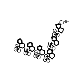 O=S(=O)([O-])C1CCCc2ccccc21.O=S(=O)([O-])C1CCCc2ccccc21.O=S(=O)([O-])C1CCCc2ccccc21.O=S(=O)([O-])C1CCCc2ccccc21.O=S(=O)([O-])C1CCCc2ccccc21.O=S(=O)([O-])C1CCCc2ccccc21.[Cr+6]